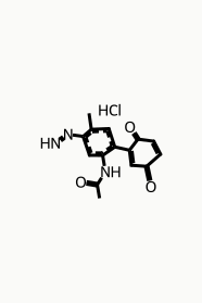 CC(=O)Nc1cc(N=N)c(C)cc1C1=CC(=O)C=CC1=O.Cl